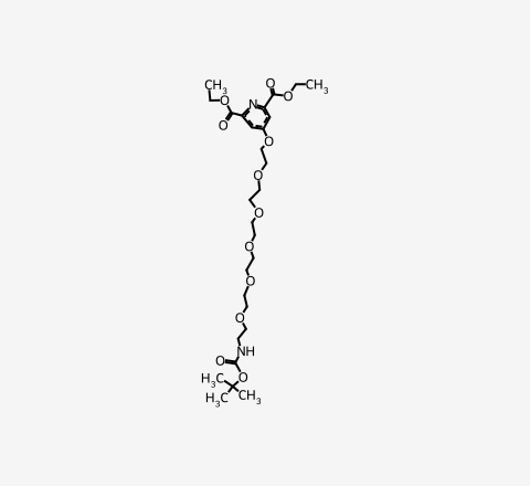 CCOC(=O)c1cc(OCCOCCOCCOCCOCCOCCNC(=O)OC(C)(C)C)cc(C(=O)OCC)n1